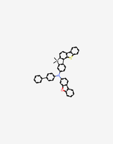 C[Si]1(C)c2cc(N(c3ccc(-c4ccccc4)cc3)c3ccc4c(c3)oc3ccccc34)ccc2-c2c1ccc1c2sc2ccccc21